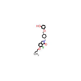 CCCCOc1ccc2c(c1F)C(=O)N(C[C@H]1CC[C@H](COc3cccc(O)c3)CC1)C2